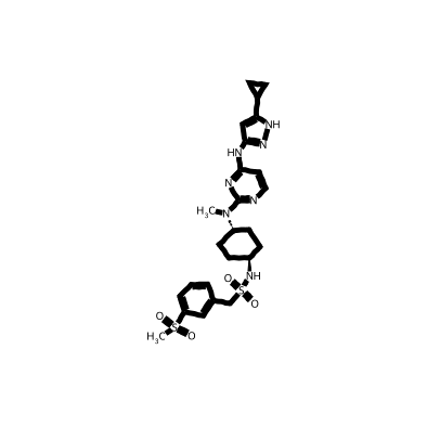 CN(c1nccc(Nc2cc(C3CC3)[nH]n2)n1)[C@H]1CC[C@H](NS(=O)(=O)Cc2cccc(S(C)(=O)=O)c2)CC1